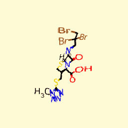 Cn1nnnc1SCC1=C(C(=O)O)N2C(=O)[C@@H](N=CC(Br)(Br)CBr)[C@@H]2SC1